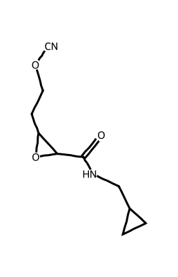 N#COCCC1OC1C(=O)NCC1CC1